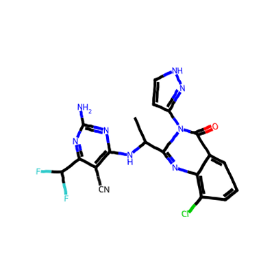 CC(Nc1nc(N)nc(C(F)F)c1C#N)c1nc2c(Cl)cccc2c(=O)n1-c1cc[nH]n1